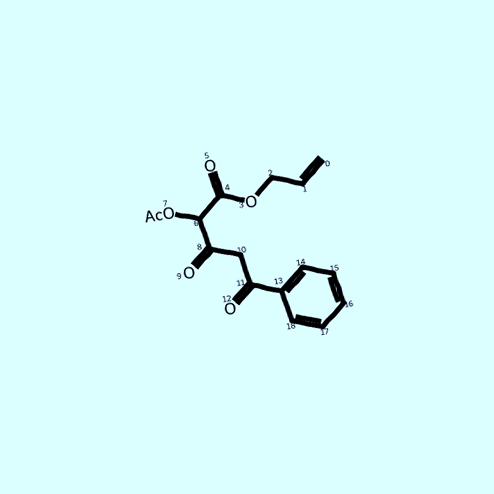 C=CCOC(=O)C(OC(C)=O)C(=O)CC(=O)c1ccccc1